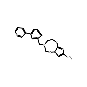 O=[N+]([O-])c1cn2c(n1)OCCN(Cc1cccc(-c3cccnc3)c1)CC2